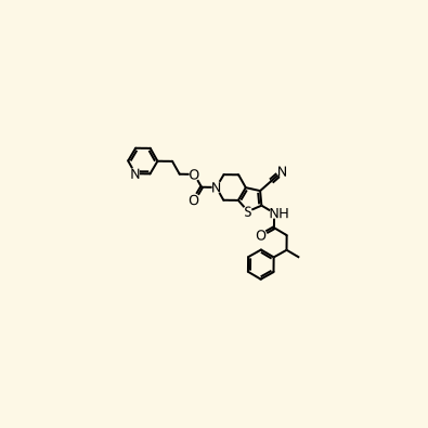 CC(CC(=O)Nc1sc2c(c1C#N)CCN(C(=O)OCCc1cccnc1)C2)c1ccccc1